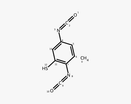 C.O=C=Nc1ccc(N=C=O)c(S)c1